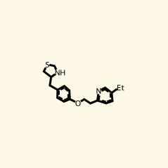 CCc1ccc(CCOc2ccc(CC3CSCN3)cc2)nc1